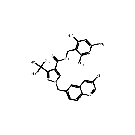 Cc1cc(N)nc(C)c1CNC(=O)c1cn(Cc2ccc3ncc(Cl)cc3c2)nc1C(C)(C)O